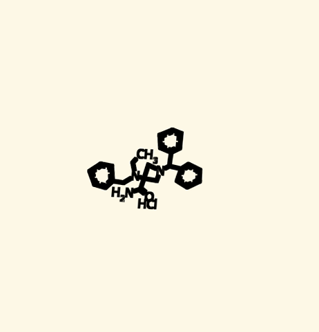 CCN(Cc1ccccc1)C1(C(N)=O)CN(C(c2ccccc2)c2ccccc2)C1.Cl